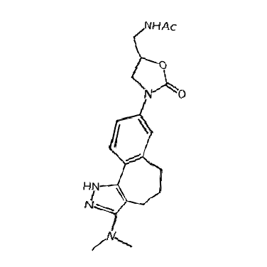 CC(=O)NCC1CN(c2ccc3c(c2)CCCc2c(N(C)C)n[nH]c2-3)C(=O)O1